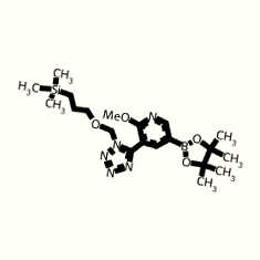 COc1ncc(B2OC(C)(C)C(C)(C)O2)cc1-c1nnnn1COCCC[Si](C)(C)C